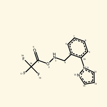 O=C(ONCc1ccccc1-n1cccn1)C(F)(F)F